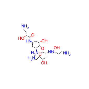 NCCC(O)CN[C@@H]1C[C@H](O)[C@@H](CN)O[C@@H]1OC1[C@H](O)C[C@H](NC(=O)[C@@H](O)CCN)C[C@@H]1N